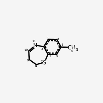 Cc1ccc2c(c1)SCCC=N2